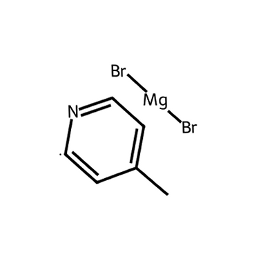 Cc1c[c]ncc1.[Br][Mg][Br]